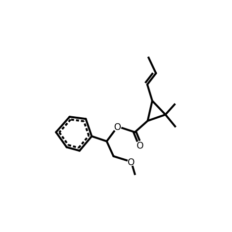 CC=CC1C(C(=O)OC(COC)c2ccccc2)C1(C)C